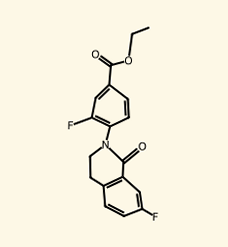 CCOC(=O)c1ccc(N2CCc3ccc(F)cc3C2=O)c(F)c1